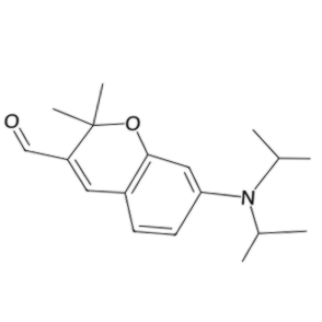 CC(C)N(c1ccc2c(c1)OC(C)(C)C(C=O)=C2)C(C)C